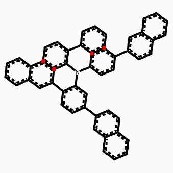 c1ccc(-c2ccccc2N(c2ccc(-c3ccc4ccccc4c3)cc2)c2cc(-c3ccc4ccccc4c3)ccc2-c2ccc3ccccc3c2)cc1